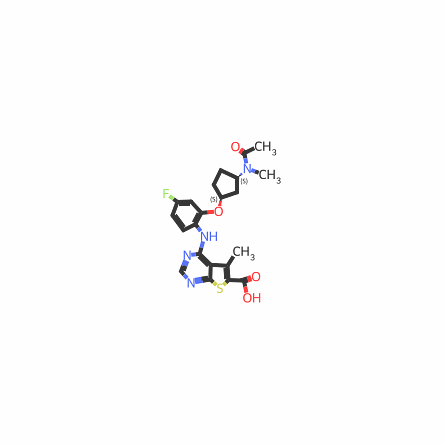 CC(=O)N(C)[C@H]1CC[C@H](Oc2cc(F)ccc2Nc2ncnc3sc(C(=O)O)c(C)c23)C1